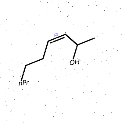 CCCCC/C=[C]\C(C)O